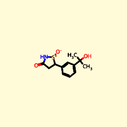 CC(C)(O)c1cccc(C2CC(=O)N[S+]2[O-])c1